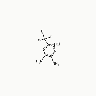 Cl.Nc1cc(C(F)(F)F)cnc1N